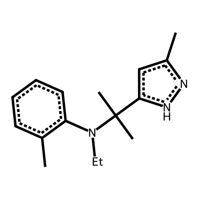 CCN(c1ccccc1C)C(C)(C)c1cc(C)n[nH]1